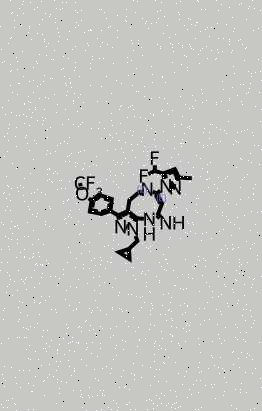 Cc1cc(C(F)F)n(C2=C/C(=N)Nc3c(c(-c4ccc(OC(F)(F)F)cc4)nn3CC3CC3)C/C=N\2)n1